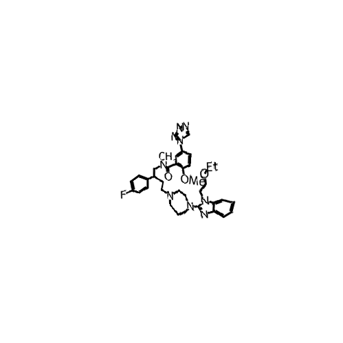 CCOCCn1c(N2CCCN(CCC(CN(C)C(=O)c3cc(-n4cnnn4)ccc3OC)c3ccc(F)cc3)CC2)nc2ccccc21